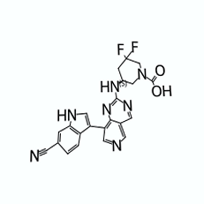 N#Cc1ccc2c(-c3cncc4cnc(N[C@@H]5CN(C(=O)O)CC(F)(F)C5)nc34)c[nH]c2c1